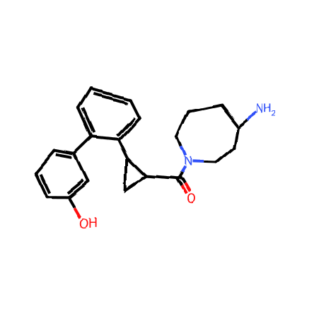 NC1CCCN(C(=O)C2CC2c2ccccc2-c2cccc(O)c2)CC1